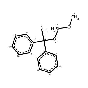 CO[SiH2]OC(C)(c1ccccc1)c1ccccc1